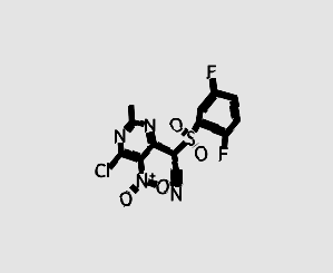 Cc1nc(Cl)c([N+](=O)[O-])c(C(C#N)S(=O)(=O)c2cc(F)ccc2F)n1